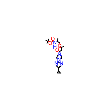 CC(COC(C)CC(=O)N1CCN(c2ncc(C3CC3)cn2)CC1)NC(=O)OC(C)(C)C